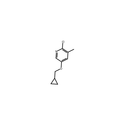 Cc1cc(OCC2CC2)cnc1Cl